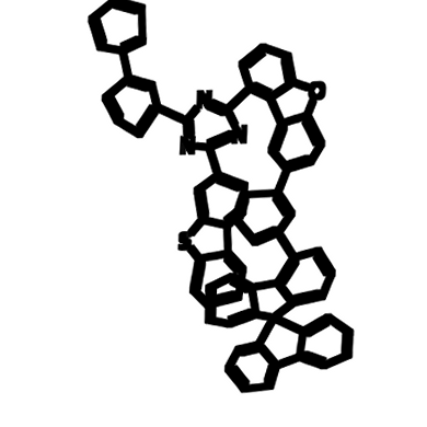 c1ccc(-c2cccc(-c3nc(-c4ccc5c(c4)sc4ccccc45)nc(-c4cccc5oc6ccc(-c7cccc(-c8cccc9c8-c8ccccc8C98c9ccccc9-c9ccccc98)c7)cc6c45)n3)c2)cc1